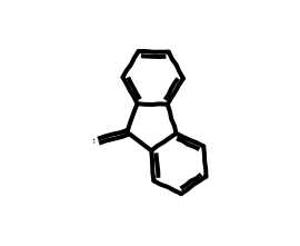 [C]=C1c2ccccc2-c2ccccc21